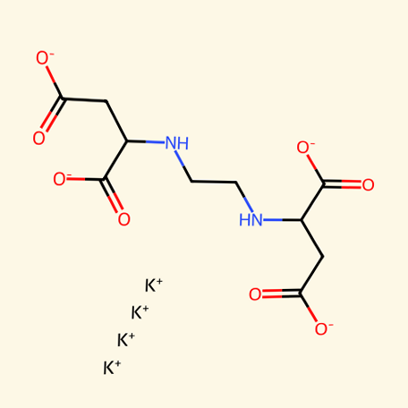 O=C([O-])CC(NCCNC(CC(=O)[O-])C(=O)[O-])C(=O)[O-].[K+].[K+].[K+].[K+]